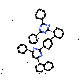 c1ccc(-c2cc(-c3cccc4ccccc34)nc(-c3ccc(-c4ccccc4-c4nc(-c5ccccc5)nc(-c5ccccc5)n4)cc3)n2)cc1